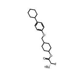 CCCC[C@@H](F)C(=O)OC1CCC(COc2ccc(C3CC[CH]CC3)cc2)CC1